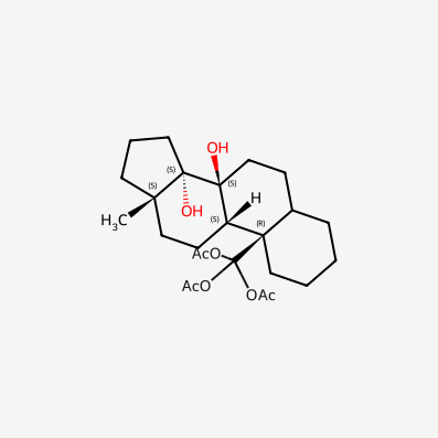 CC(=O)OC(OC(C)=O)(OC(C)=O)[C@]12CCCCC1CC[C@]1(O)[C@H]2CC[C@]2(C)CCC[C@]21O